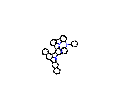 c1ccc(N(c2ccccc2)c2cccc3c4cccc5c6c7c8c9ccccc9cc9c%10cc%11ccccc%11cc%10n(c7cnc6n(c23)c45)c98)cc1